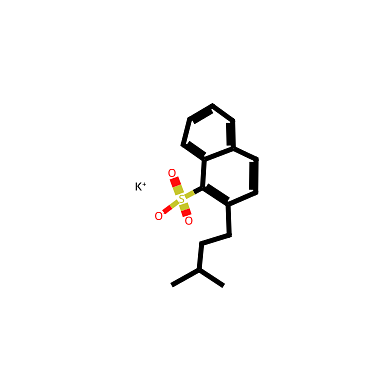 CC(C)CCc1ccc2ccccc2c1S(=O)(=O)[O-].[K+]